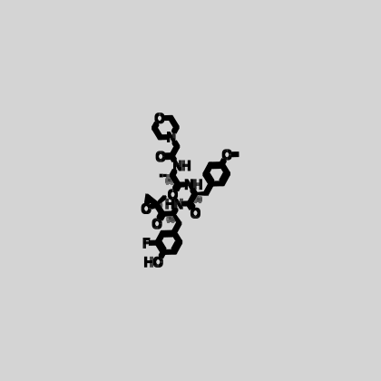 COc1ccc(C[C@H](NC(=O)[C@H](C)NC(=O)CN2CCOCC2)C(=O)N[C@@H](Cc2ccc(O)c(F)c2)C(=O)[C@@]2(C)CO2)cc1